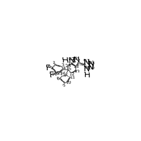 Fc1ccc(C2(c3ccccc3)C=Cc3c(-c4nnn[nH]4)n[nH]c3C2)cc1F